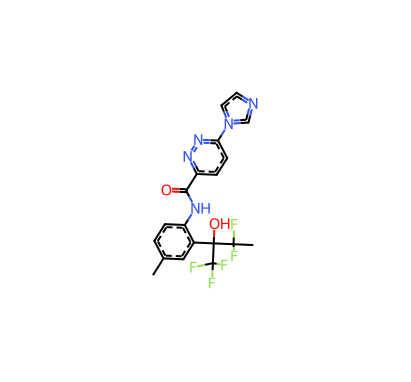 Cc1ccc(NC(=O)c2ccc(-n3ccnc3)nn2)c(C(O)(C(C)(F)F)C(F)(F)F)c1